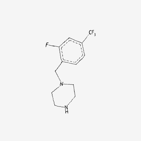 Fc1cc(C(F)(F)F)ccc1CN1CCNCC1